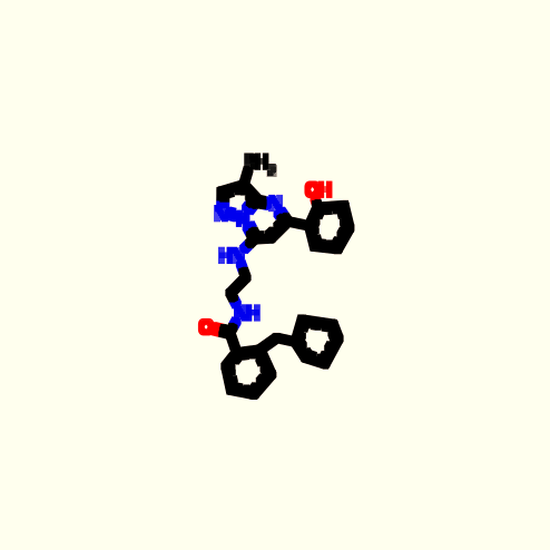 Bc1cnn2c(NCCNC(=O)c3ccccc3Cc3ccccc3)cc(-c3ccccc3O)nc12